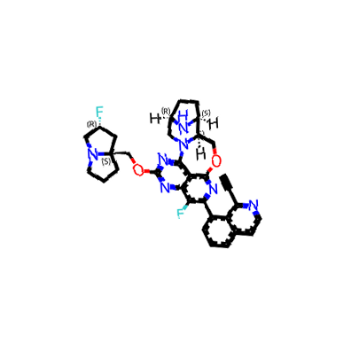 C#Cc1nccc2cccc(-c3nc4c5c(nc(OC[C@@]67CCCN6C[C@H](F)C7)nc5c3F)N3C[C@H]5CC[C@H](N5)[C@H]3CO4)c12